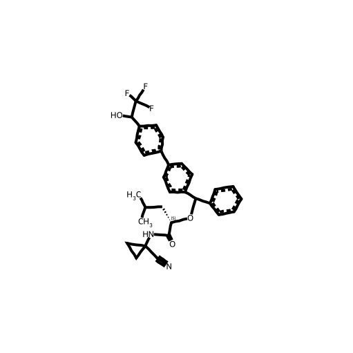 CC(C)C[C@H](OC(c1ccccc1)c1ccc(-c2ccc(C(O)C(F)(F)F)cc2)cc1)C(=O)NC1(C#N)CC1